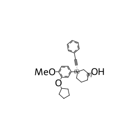 COc1ccc([C@]2(C#Cc3ccccc3)CCC[C@@H](O)C2)cc1OC1CCCC1